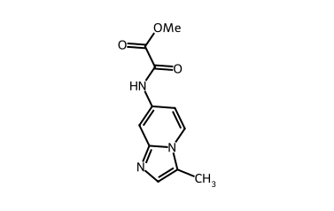 COC(=O)C(=O)Nc1ccn2c(C)cnc2c1